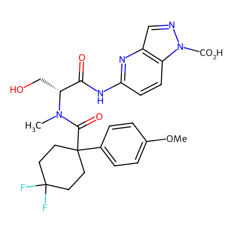 COc1ccc(C2(C(=O)N(C)[C@H](CO)C(=O)Nc3ccc4c(cnn4C(=O)O)n3)CCC(F)(F)CC2)cc1